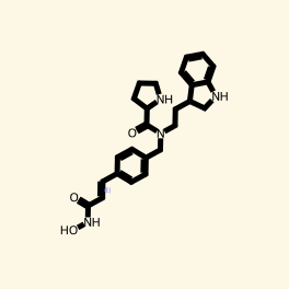 O=C(/C=C/c1ccc(CN(CCC2CNc3ccccc32)C(=O)C2CCCN2)cc1)NO